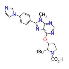 Cn1c(-c2ccc(-n3ccnc3)cc2)nc2c(OC3CCN(C(=O)O)C3C(C)(C)C)ncnc21